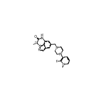 C[C@H]1C(=O)Nc2cc(CN3CCN(C4=C(F)N(C)CC=C4)CC3)cc3cnn1c23